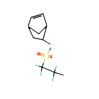 O=S(=O)(NC1CC2C=CC1C2)C(F)(F)C(F)(F)C(F)(F)F